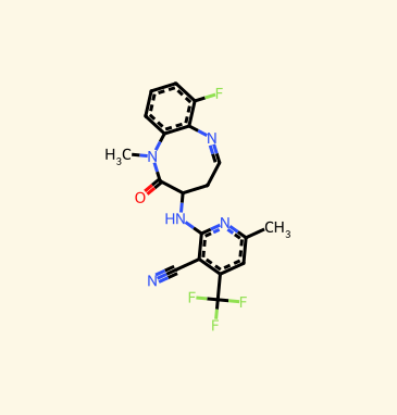 Cc1cc(C(F)(F)F)c(C#N)c(NC2CC=Nc3c(F)cccc3N(C)C2=O)n1